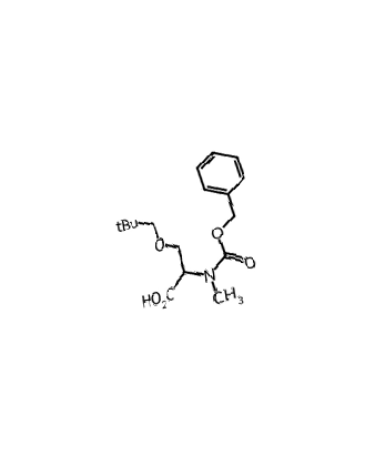 CN(C(=O)OCc1ccccc1)C(COCC(C)(C)C)C(=O)O